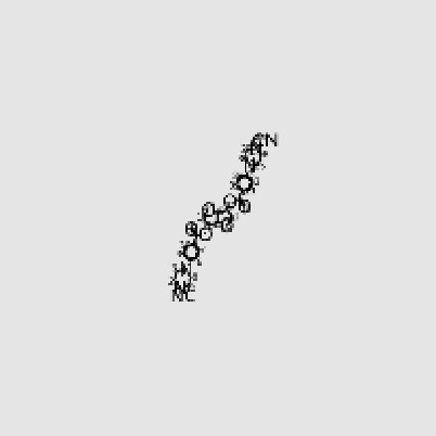 [C-]#[N+]N1CCN(c2ccc(C(=O)OC3COC4C(OC(=O)c5ccc(N6CCN(C#N)CC6)cc5)COC34)cc2)CC1